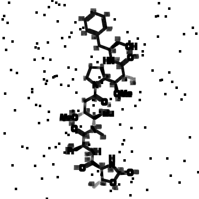 CC[C@H](C)[C@@H]([C@@H](CC(=O)N1CCC[C@H]1[C@H](OC)[C@@H](C)C(=O)N[C@H](CO)Cc1ccccc1)OC)N(C)C(=O)[C@@H](NC(=O)[C@H]1NC(=O)O[C@@H]1C)C(C)C